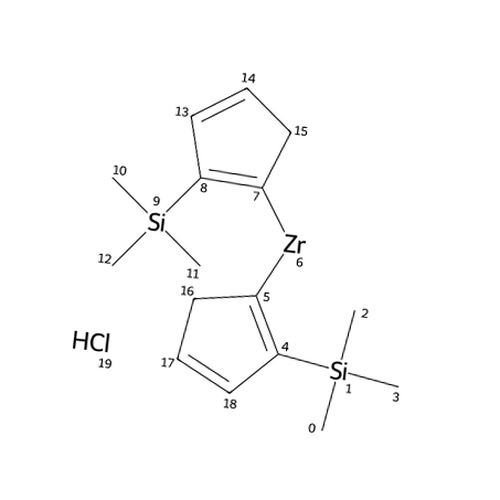 C[Si](C)(C)C1=[C]([Zr][C]2=C([Si](C)(C)C)C=CC2)CC=C1.Cl